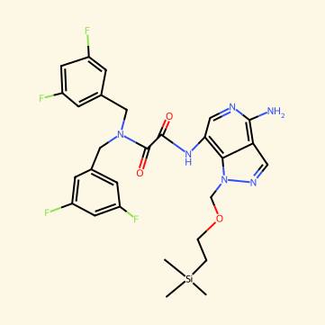 C[Si](C)(C)CCOCn1ncc2c(N)ncc(NC(=O)C(=O)N(Cc3cc(F)cc(F)c3)Cc3cc(F)cc(F)c3)c21